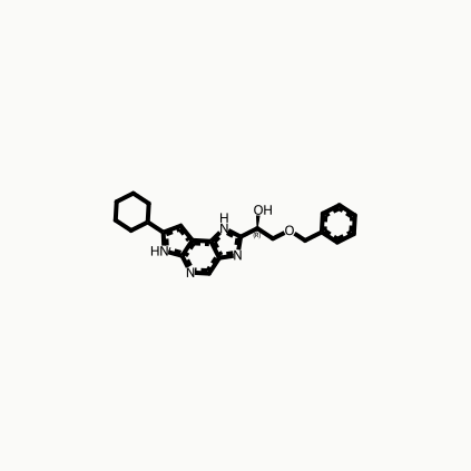 O[C@@H](COCc1ccccc1)c1nc2cnc3[nH]c(C4CCCCC4)cc3c2[nH]1